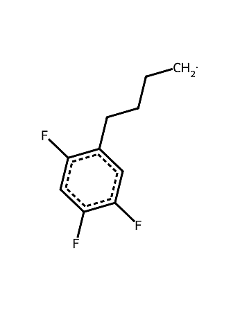 [CH2]CCCc1cc(F)c(F)cc1F